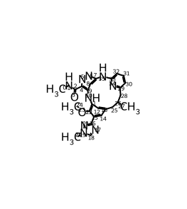 CNC(=O)c1nnc2cc1Nc1cc(cc(-c3ncn(C)n3)c1OC)CC(C)Cc1cccc(n1)N2